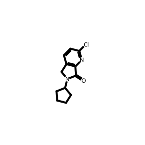 O=C1c2nc(Cl)ccc2CN1C1CCCC1